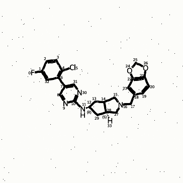 Fc1ccc(Cl)c(-c2cnc(N[C@@H]3CC4CN(Cc5ccc6c(c5)OCO6)C[C@H]4C3)nc2)c1